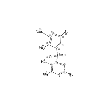 CCc1cc(C(C)(C)C)c(O)c(S(=O)(=O)c2cc(CC)cc(C(C)(C)C)c2O)c1